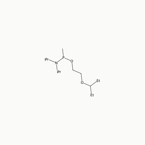 CCC(CC)OCCOP(C)N(C(C)C)C(C)C